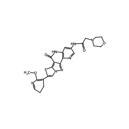 COC1=C(c2cn3nc4c5ncc(NC(=O)CN6CCOCC6)cc5[nH]c(=O)c4c3s2)CCC=N1